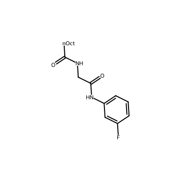 CCCCCCCCC(=O)NCC(=O)Nc1cccc(F)c1